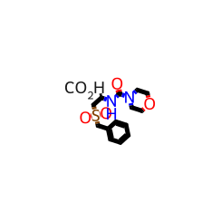 O=C(O)[C@H](CS(=O)(=O)Cc1ccccc1)NC(=O)N1CCOCC1